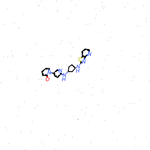 O=c1ccccn1-c1ccc(N[C@H]2CC[C@H](Nc3nc4ncccc4s3)C2)nc1